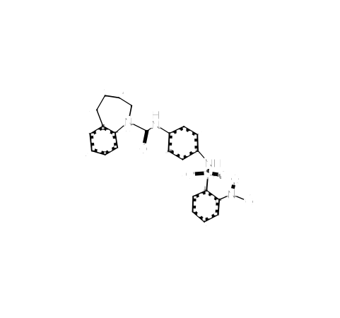 O=C(Nc1ccc(NS(=O)(=O)c2ccccc2[N+](=O)[O-])cc1)N1CCCCc2ccccc21